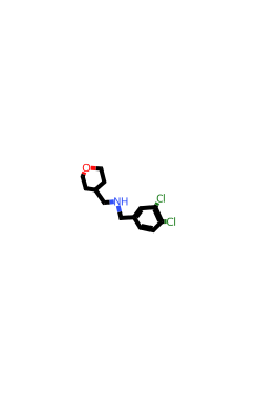 Clc1ccc(CNCC2CCOCC2)cc1Cl